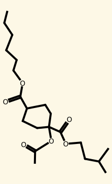 CCCCCCOC(=O)C1CCC(OC(C)=O)(C(=O)OCCC(C)C)CC1